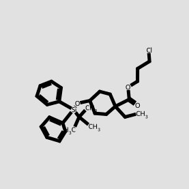 CCC1(C(=O)OCCCCl)CCC(O[Si](c2ccccc2)(c2ccccc2)C(C)(C)C)CC1